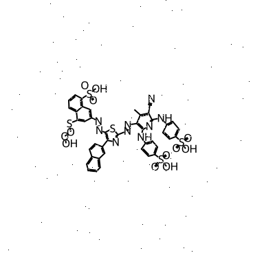 Cc1c(C#N)c(Nc2ccc(S(=O)(=O)O)cc2)nc(Nc2ccc(S(=O)(=O)O)cc2)c1/N=N/c1nc(-c2ccc3ccccc3c2)c(/N=N/c2cc(SOOO)c3cccc(S(=O)(=O)O)c3c2)s1